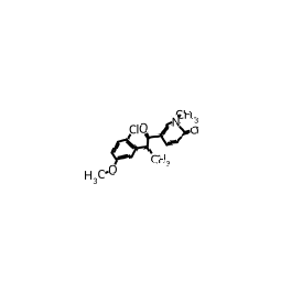 COc1ccc(Cl)c(C(C)C(=O)c2ccc(=O)n(C)c2)c1